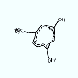 O=C([O-])c1cc(O)cc(O)c1.[Ag+]